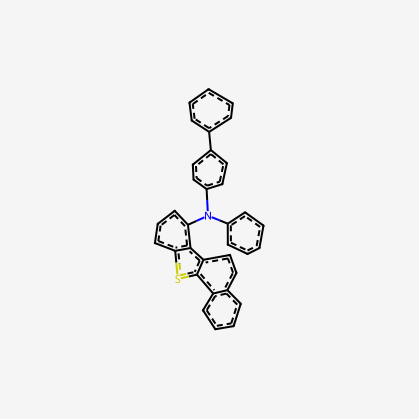 c1ccc(-c2ccc(N(c3ccccc3)c3cccc4sc5c6ccccc6ccc5c34)cc2)cc1